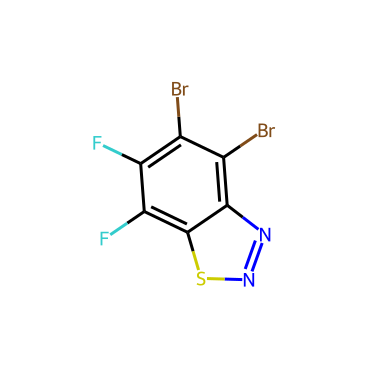 Fc1c(Br)c(Br)c2nnsc2c1F